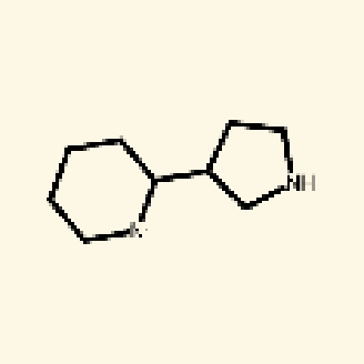 C1CCC(C2CCNC2)[N]C1